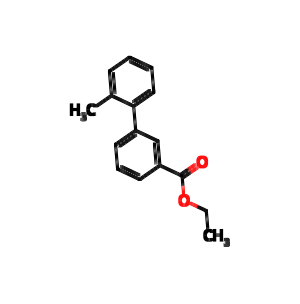 CCOC(=O)c1cccc(-c2ccccc2C)c1